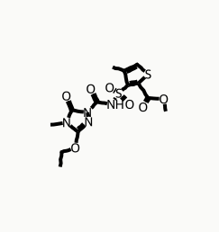 CCOc1nn(C(=O)NS(=O)(=O)c2c(C)csc2C(=O)OC)c(=O)n1C